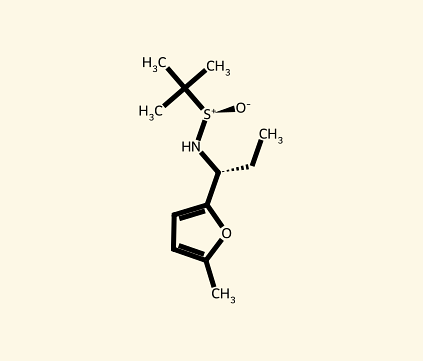 CC[C@@H](N[S@+]([O-])C(C)(C)C)c1ccc(C)o1